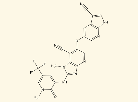 Cn1cc(C(F)(F)F)cc(Nc2nc3ncc(Oc4cnc5[nH]cc(C#N)c5c4)c(C#N)c3n2C)c1=O